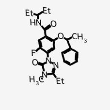 CCc1nn(-c2cc(OC(C)c3ccccc3)c(C(=O)NC(CC)CC)cc2F)c(=O)n1C